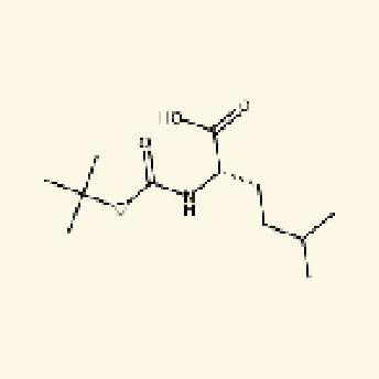 CC(C)CC[C@H](NC(=O)OC(C)(C)C)C(=O)O